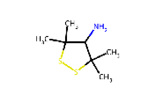 CC1(C)SSC(C)(C)C1N